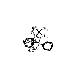 CO[Si](O[Si](OC)(c1ccccc1)C(C)(C)C)(c1ccccc1)C(C)(C)C